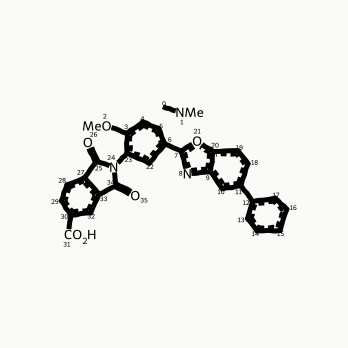 CNC.COc1ccc(-c2nc3cc(-c4ccccc4)ccc3o2)cc1N1C(=O)c2ccc(C(=O)O)cc2C1=O